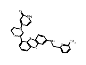 Cc1cccc(CNc2ccc3c(c2)Sc2cccc(C4CN(c5cc[nH]c(=O)c5)CCO4)c2S3)n1